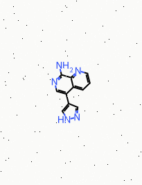 Nc1ncc(-c2cn[nH]c2)c2cccnc12